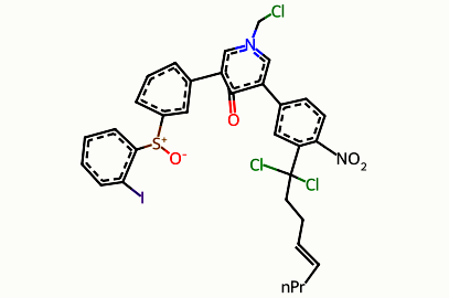 CCC/C=C/CCC(Cl)(Cl)c1cc(-c2cn(CCl)cc(-c3cccc([S+]([O-])c4ccccc4I)c3)c2=O)ccc1[N+](=O)[O-]